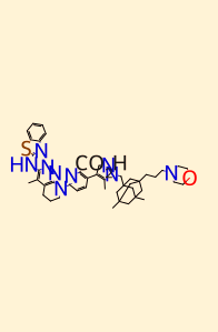 Cc1c(Nc2nc3ccccc3s2)nnc2c1CCCN2c1ccc(-c2cnn(CC34CC5(C)CC(C)(CC(CCCN6CCOCC6)(C5)C3)C4)c2C)c(C(=O)O)n1